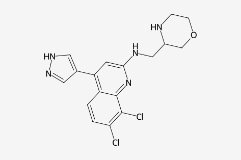 Clc1ccc2c(-c3cn[nH]c3)cc(NCC3COCCN3)nc2c1Cl